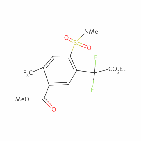 CCOC(=O)C(F)(F)c1cc(C(=O)OC)c(C(F)(F)F)cc1S(=O)(=O)NC